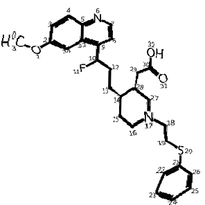 COc1ccc2nccc(C(F)CC[C@@H]3CCN(CCSc4ccccc4)C[C@@H]3CC(=O)O)c2c1